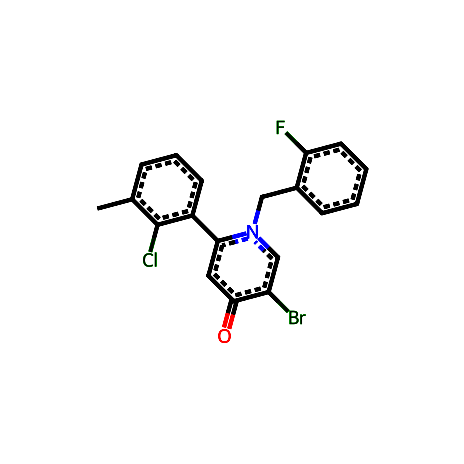 Cc1cccc(-c2cc(=O)c(Br)cn2Cc2ccccc2F)c1Cl